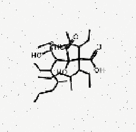 CCCC(C)C(CC)C(C(=O)O)C(O)(C(=O)O)C(C(=O)O)(C(CC)C(C)CCC)C(CC)C(C)CCC